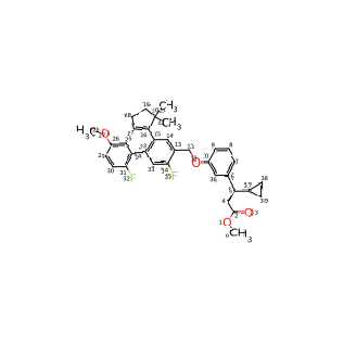 COC(=O)C[C@@H](c1cccc(OCc2cc(C3=CCCC3(C)C)c(-c3cc(OC)ccc3F)cc2F)c1)C1CC1